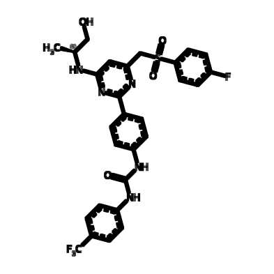 C[C@@H](CO)Nc1cc(CS(=O)(=O)c2ccc(F)cc2)nc(-c2ccc(NC(=O)Nc3ccc(C(F)(F)F)cc3)cc2)n1